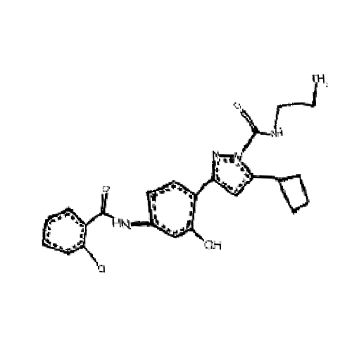 CCCNC(=O)n1nc(-c2ccc(NC(=O)c3ccccc3Cl)cc2O)cc1C1CCC1